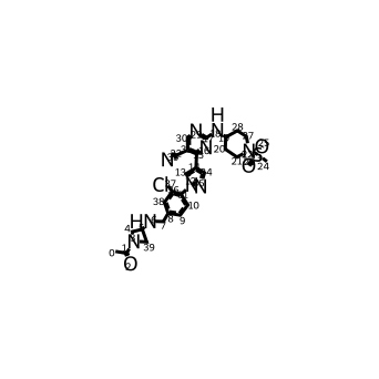 CC(=O)N1CC(NCc2ccc(-n3cc(-c4nc(NC5CCN(S(C)(=O)=O)CC5)ncc4C#N)cn3)c(Cl)c2)C1